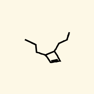 CCCC1C=CC1CCC